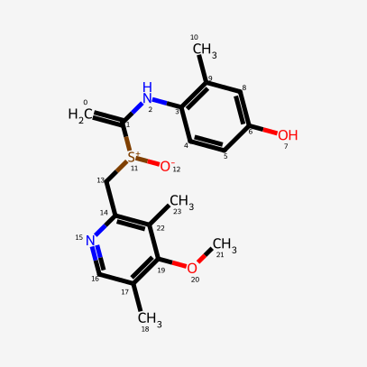 C=C(Nc1ccc(O)cc1C)[S+]([O-])Cc1ncc(C)c(OC)c1C